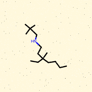 CCCCC(C)(CC)CCNCC(C)(C)C